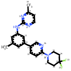 Cc1cc(Nc2nccc(C(F)(F)F)n2)cc(-c2ccc(N3CCC(F)(F)CC3)nc2)c1